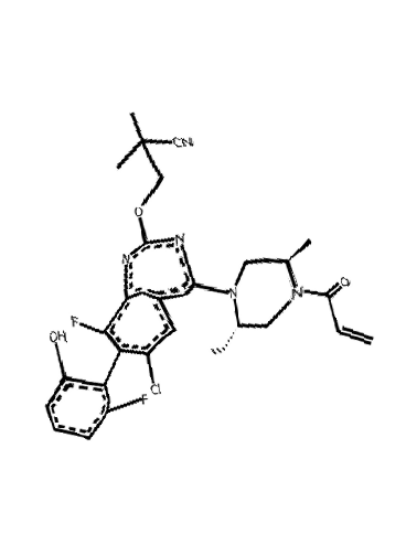 C=CC(=O)N1C[C@H](C)N(c2nc(OCC(C)(C)C#N)nc3c(F)c(-c4c(O)cccc4F)c(Cl)cc23)C[C@H]1C